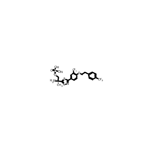 C[C@](N)(COP(=O)(O)O)c1nnc(-c2ccc(OCCc3ccc(C(F)(F)F)cc3)c(C(F)(F)F)c2)s1